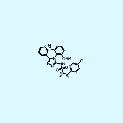 COc1cccc(O)c1-n1c(NS(=O)(=O)[C@H](C)[C@@H](C)c2ncc(Cl)cn2)nnc1C1=C=C=CN=C1